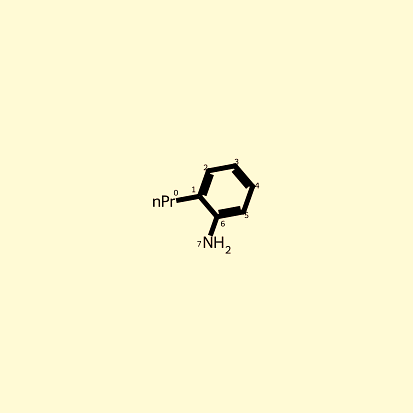 [CH2]CCc1ccccc1N